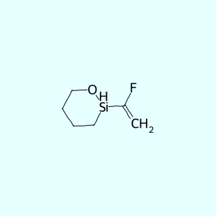 C=C(F)[SiH]1CCCCO1